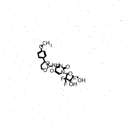 COc1ccc(C2CCOP(=O)(Nc3ccn([C@@H]4O[C@H](CO)[C@@H](O)C4(F)F)c(=O)n3)O2)cc1